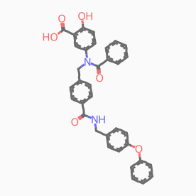 O=C(NCc1ccc(Oc2ccccc2)cc1)c1ccc(CN(C(=O)c2ccccc2)c2ccc(O)c(C(=O)O)c2)cc1